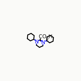 O=C(O)C1=[N+](C2CCCCC2)CCCN1C1CCCCC1